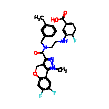 Cc1cccc(CN(CCNC2=CC(C(=O)O)=CCC2F)C(=O)c2nn(C)c3c2COc2cc(F)c(F)cc2-3)c1